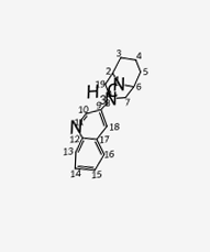 CN1C2CCCC1CN(c1cnc3ccccc3c1)C2